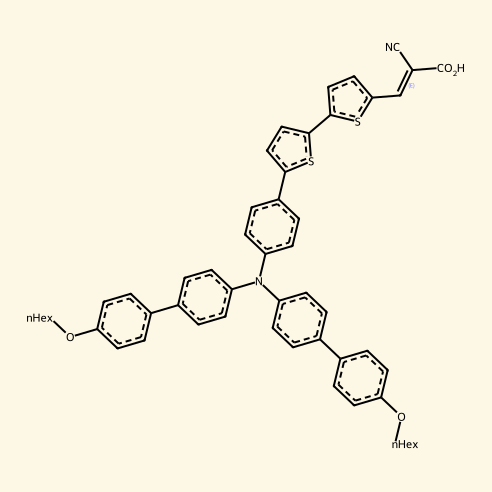 CCCCCCOc1ccc(-c2ccc(N(c3ccc(-c4ccc(OCCCCCC)cc4)cc3)c3ccc(-c4ccc(-c5ccc(/C=C(\C#N)C(=O)O)s5)s4)cc3)cc2)cc1